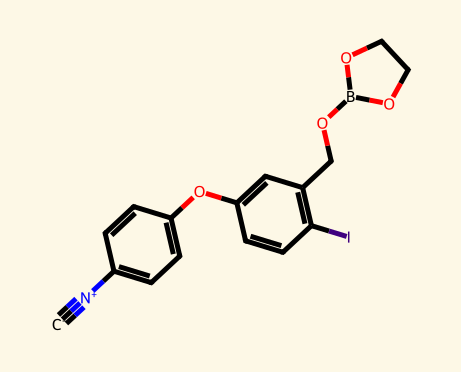 [C-]#[N+]c1ccc(Oc2ccc(I)c(COB3OCCO3)c2)cc1